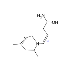 CC1=CC(C)=NCN1/C=C\CC(N)O